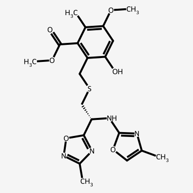 COC(=O)c1c(C)c(OC)cc(O)c1CSC[C@H](Nc1nc(C)co1)c1nc(C)no1